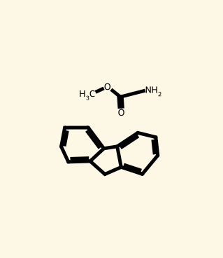 COC(N)=O.c1ccc2c(c1)Cc1ccccc1-2